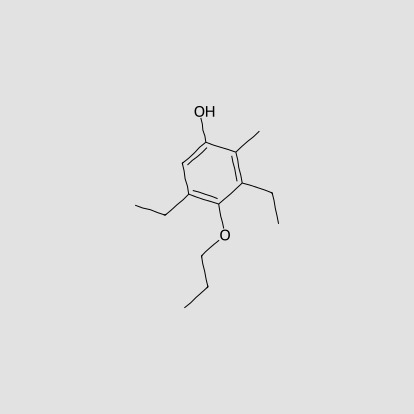 CCCOc1c(CC)cc(O)c(C)c1CC